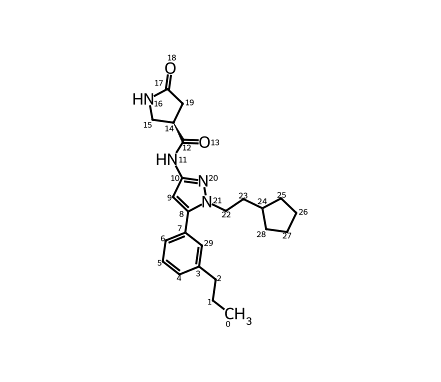 CCCc1cccc(-c2cc(NC(=O)[C@H]3CNC(=O)C3)nn2CCC2CCCC2)c1